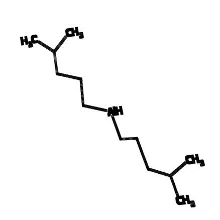 CC(C)CC[CH2][AlH][CH2]CCC(C)C